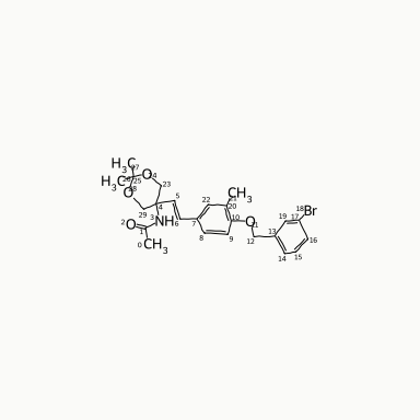 CC(=O)NC1(/C=C/c2ccc(OCc3cccc(Br)c3)c(C)c2)COC(C)(C)OC1